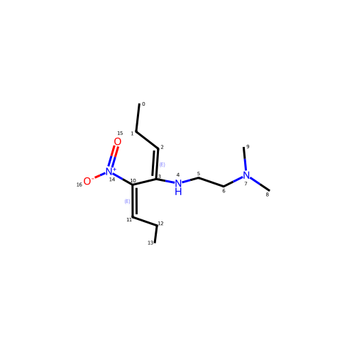 CC/C=C(NCCN(C)C)\C(=C/CC)[N+](=O)[O-]